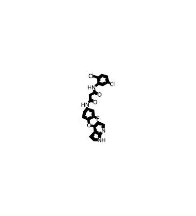 O=C(CC(=O)Nc1cc(Cl)ccc1Cl)Nc1ccc(Oc2ccnc3[nH]ccc23)c(F)c1